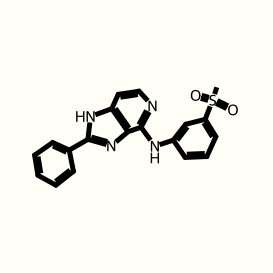 CS(=O)(=O)c1cccc(Nc2nccc3[nH]c(-c4ccccc4)nc23)c1